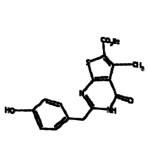 CCOC(=O)c1sc2nc(Cc3ccc(O)cc3)[nH]c(=O)c2c1C